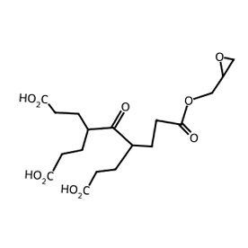 O=C(O)CCC(CCC(=O)O)C(=O)C(CCC(=O)O)CCC(=O)OCC1CO1